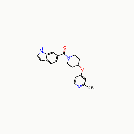 O=C(c1ccc2cc[nH]c2c1)N1CCC(Oc2ccnc(C(F)(F)F)c2)CC1